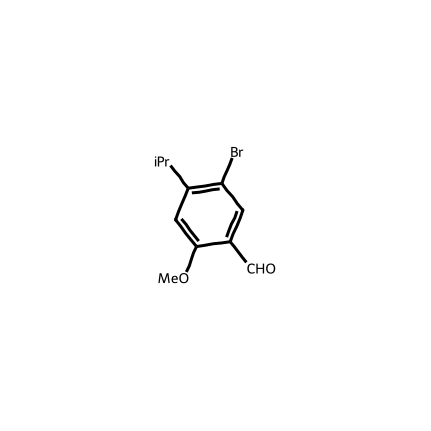 COc1cc(C(C)C)c(Br)cc1C=O